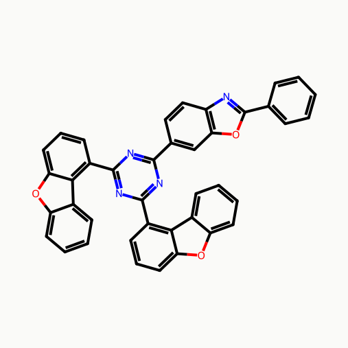 c1ccc(-c2nc3ccc(-c4nc(-c5cccc6oc7ccccc7c56)nc(-c5cccc6oc7ccccc7c56)n4)cc3o2)cc1